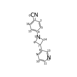 N#Cc1ccc(N2CC(c3cccnc3)C2)cc1